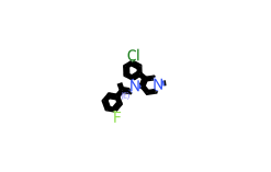 C/C(=C\n1c2c(c3cc(Cl)ccc31)CN(C)CC2)c1cccc(F)c1